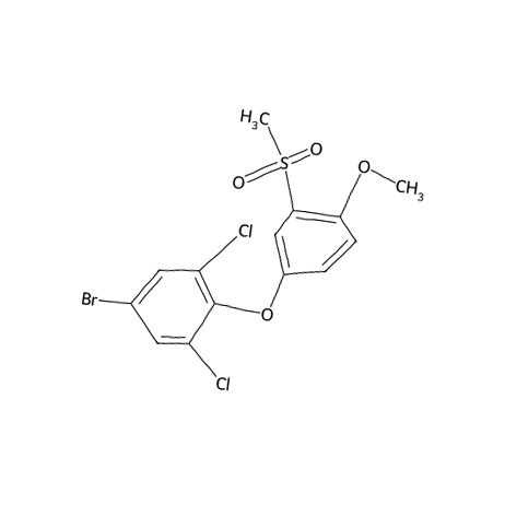 COc1ccc(Oc2c(Cl)cc(Br)cc2Cl)cc1S(C)(=O)=O